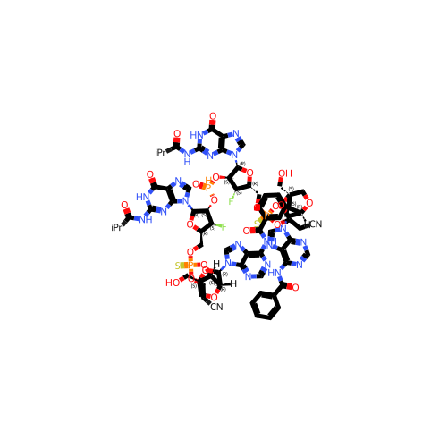 CC(C)C(=O)Nc1nc2c(ncn2[C@@H]2O[C@H](COP(=S)(OCCC#N)O[C@H]3[C@H]4OC[C@]3(CO)O[C@H]4n3cnc4c(NC(=O)c5ccccc5)ncnc43)[C@H](F)[C@H]2O[PH](=O)O[C@@H]2[C@@H](F)[C@@H](COP(=S)(OCCC#N)O[C@H]3[C@H]4OC[C@]3(CO)O[C@H]4n3cnc4c(NC(=O)c5ccccc5)ncnc43)O[C@H]2n2cnc3c(=O)[nH]c(NC(=O)C(C)C)nc32)c(=O)[nH]1